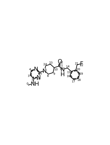 CNc1ccnc(N2CCC(C(=O)NCc3ccccc3CF)CC2)n1